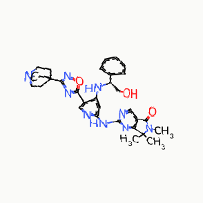 CN1C(=O)c2cnc(Nc3cc(N[C@H](CO)c4ccccc4)c(-c4nc(C56CCN(CC5)CC6)no4)cn3)nc2C1(C)C